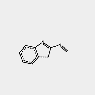 C=NC1=Nc2ccccc2C1